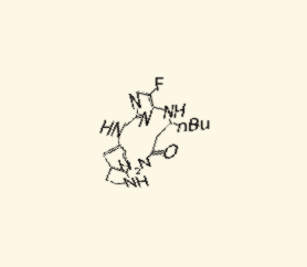 CCCCC(CC(N)=O)Nc1nc(Nc2ccc3c(c2)CCN3)ncc1F